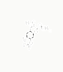 COC(=O)C(C)Cc1ccc(OC(F)(F)F)c(F)c1